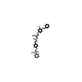 O=P(O)(COc1ccc(CCNC[C@H](O)COc2ccc(OCc3ccccc3)c(F)c2)cc1)C1CCCCC1